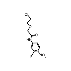 O=C(COCCCl)Nc1ccc([N+](=O)[O-])c(F)c1